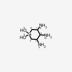 NC1C[Si](O)(O)CC(N)C1N